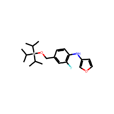 CC(C)[Si](OCc1ccc(Nc2ccoc2)c(F)c1)(C(C)C)C(C)C